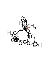 CCO[C@]1(CN2CCN3CCOC[C@@H]3C2)/C=C/C[C@H](C)[C@@H](CC2CCC2)S(=O)(=O)NC(=O)c2ccc3c(c2)N(CCCCc2cc(Cl)ccc2CO3)C[C@@H]2CC[C@H]21